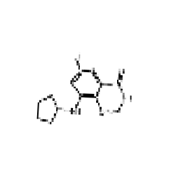 O=C1NCOc2c(NC3CCCC3)cc(Cl)cc21